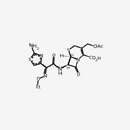 CCON=C(C(=O)N[C@@H]1C(=O)N2C(C(=O)O)=C(COC(C)=O)CS[C@H]12)c1csc(N)n1